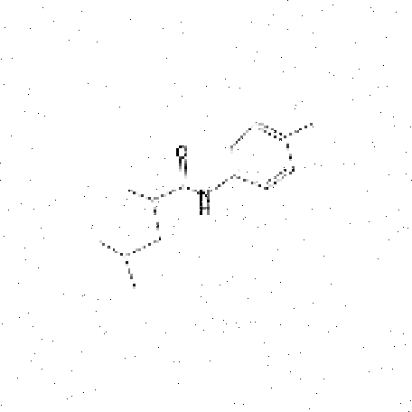 Cc1ccc(NC(=O)C(C)CC(C)C)cc1